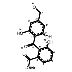 COC(=O)c1cccc(O)c1C(=O)c1c(O)cc(CO)cc1O